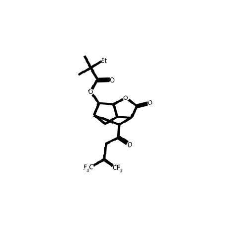 CCC(C)(C)C(=O)OC1C2CC3C1OC(=O)C3C2C(=O)CC(C(F)(F)F)C(F)(F)F